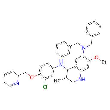 CCOc1cc2c(cc1N(Cc1ccccc1)Cc1ccccc1)C(Nc1ccc(OCC3C=CCC=N3)c(Cl)c1)C(C#N)CN2